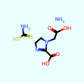 N.NC(=S)S.O=C(O)CN1CCN=C1C(=O)O